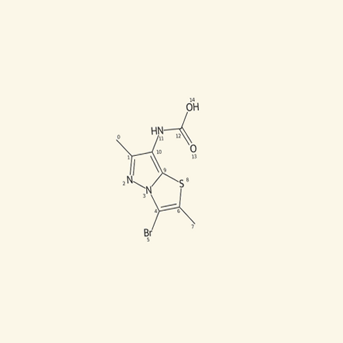 Cc1nn2c(Br)c(C)sc2c1NC(=O)O